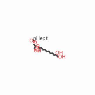 CCCCCCCC(=O)OCC(CO)OC(=O)CCCCCCCCC(O)CO